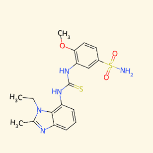 CCn1c(C)nc2cccc(NC(=S)Nc3cc(S(N)(=O)=O)ccc3OC)c21